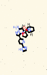 CC(=O)c1c([C@@H]2C[C@H]3CC[C@@H](C2)N3C(=O)C2CCCO2)nc2c(-c3ccc(-c4ncc[nH]4)nc3)cnn2c1N